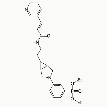 CCOP(=O)(OCC)c1cccc(N2CC3C(CCNC(=O)/C=C/c4cccnc4)C3C2)c1